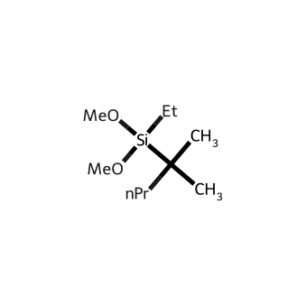 CCCC(C)(C)[Si](CC)(OC)OC